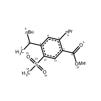 CCCCC(C)c1cc(CCC)c(C(=O)OC)cc1S(C)(=O)=O